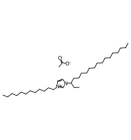 CC(=O)[O-].CCCCCCCCCCCCCCCC(CC)n1cc[n+](CCCCCCCCCCCC)c1